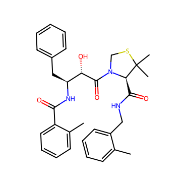 Cc1ccccc1CNC(=O)[C@H]1N(C(=O)[C@@H](O)[C@H](Cc2ccccc2)NC(=O)c2ccccc2C)CSC1(C)C